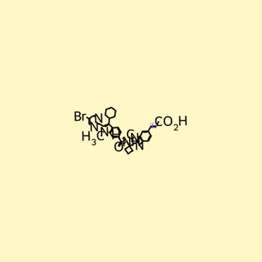 Cn1c(C2(NC(=O)c3ccc4c(C5CCCCC5)c(-c5ncc(Br)cn5)n(C)c4c3)CCC2)nc2ccc(/C=C/C(=O)O)cc21